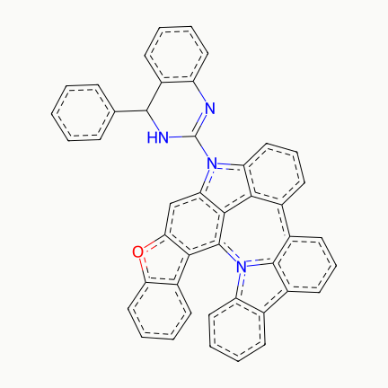 c1ccc(C2NC(n3c4cccc5c6cccc7c8ccccc8n(c67)c6c7c(cc3c6c54)oc3ccccc37)=Nc3ccccc32)cc1